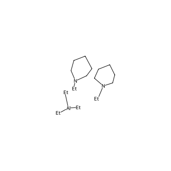 CCN1CCCCC1.CCN1CCCCC1.C[CH2][Al]([CH2]C)[CH2]C